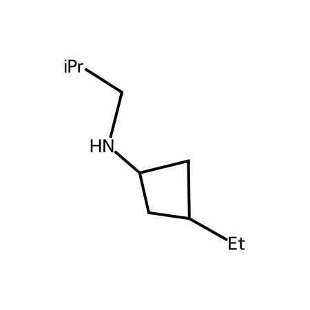 CCC1CC(NCC(C)C)C1